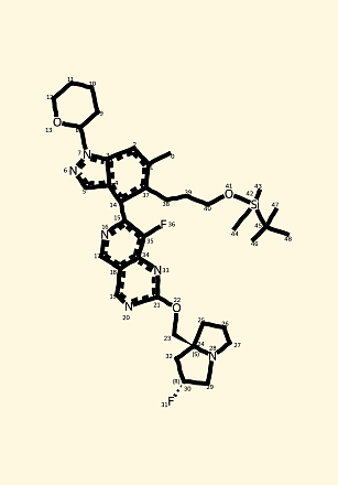 Cc1cc2c(cnn2C2CCCCO2)c(-c2ncc3cnc(OC[C@@]45CCCN4C[C@H](F)C5)nc3c2F)c1CCCO[Si](C)(C)C(C)(C)C